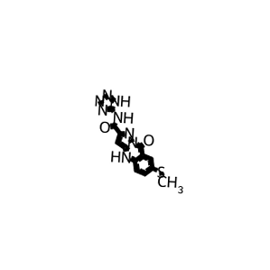 CSc1ccc2[nH]c3cc(C(=O)Nc4nnn[nH]4)nn3c(=O)c2c1